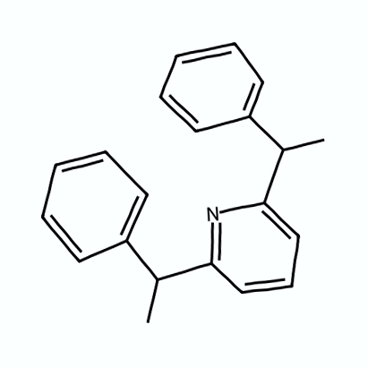 CC(c1ccccc1)c1cccc(C(C)c2ccccc2)n1